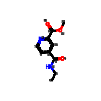 CCNC(=O)c1ccnc(C(=O)OC)c1